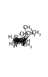 CCCCCC/C=C\CCCCCCCCCC(=O)N[C@@H]1[C@H](OC[C@H]2OC(O[PH](C)=O)[C@@H](NC(=O)CC(=O)CCCCCCCCCCC)[C@@H](OCCCCCCCCCC)C2O)O[C@H](CC)[C@H](O[PH](=O)O)[C@@H]1OCC[C@H](C)CCCCCCC